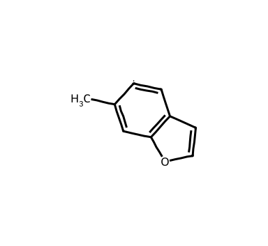 Cc1[c]cc2ccoc2c1